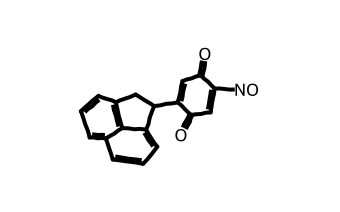 O=NC1=CC(=O)C(C2Cc3cccc4cccc2c34)=CC1=O